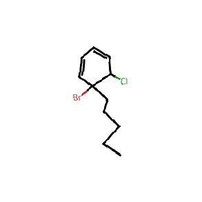 CCCCCC1(Br)C=CC=CC1Cl